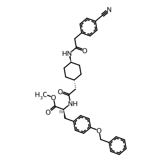 COC(=O)[C@H](Cc1ccc(OCc2ccccc2)cc1)NC(=O)C[C@H]1CC[C@H](NC(=O)Cc2ccc(C#N)cc2)CC1